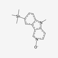 Cn1c2cc[c]([Sn]([CH3])([CH3])[CH3])cc2c2c[n+]([O-])ccc21